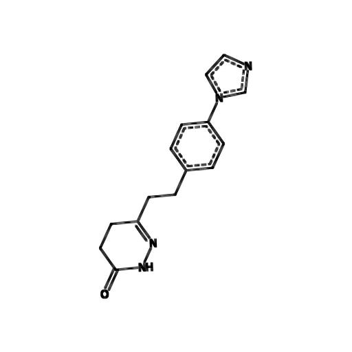 O=C1CCC(CCc2ccc(-n3ccnc3)cc2)=NN1